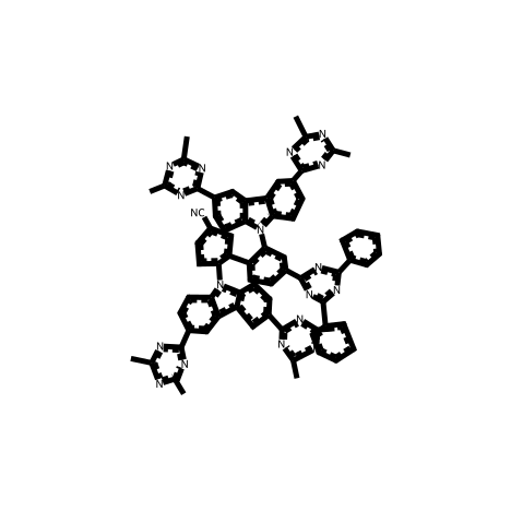 Cc1nc(C)nc(-c2ccc3c(c2)c2cc(-c4nc(C)nc(C)n4)ccc2n3-c2ccc(C#N)cc2-c2ccc(-c3nc(-c4ccccc4)nc(-c4ccccc4)n3)cc2-n2c3ccc(-c4nc(C)nc(C)n4)cc3c3cc(-c4nc(C)nc(C)n4)ccc32)n1